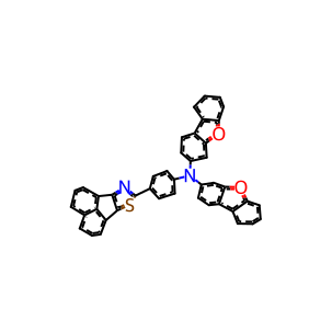 c1cc2c3c(cccc3c1)-c1sc(-c3ccc(N(c4ccc5c(c4)oc4ccccc45)c4ccc5c(c4)oc4ccccc45)cc3)nc1-2